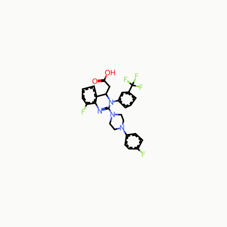 O=C(O)CC1c2cccc(F)c2N=C(N2CCN(c3ccc(F)cc3)CC2)N1c1cccc(C(F)(F)F)c1